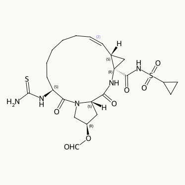 NC(=S)N[C@H]1CCCCC/C=C\[C@@H]2C[C@@]2(C(=O)NS(=O)(=O)C2CC2)NC(=O)[C@@H]2C[C@@H](OC=O)CN2C1=O